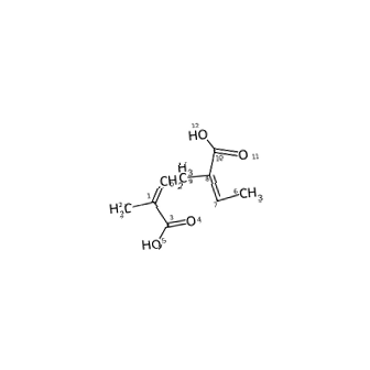 C=C(C)C(=O)O.CC=C(C)C(=O)O